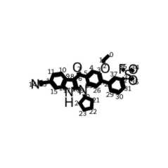 CCOc1cc2c(=O)c3c4ccc(C#N)cc4[nH]c3n(C3CCCC3)c2cc1-c1cccc(S(=O)(=O)F)c1